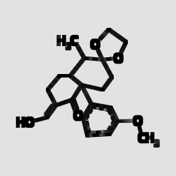 COc1cccc(C23CCC4(OCCO4)C(C)C2CCC(=CO)C3=O)c1